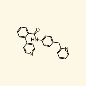 O=C(Nc1ccc(Cc2ccccn2)cc1)c1ccccc1-c1ccncc1